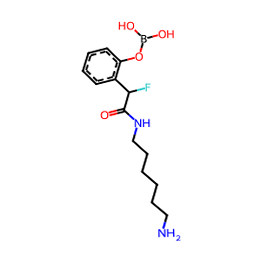 NCCCCCCNC(=O)C(F)c1ccccc1OB(O)O